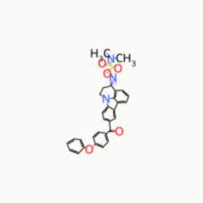 CN(C)S(=O)(=O)O/N=C1\CCn2c3ccc(C(=O)c4ccc(Oc5ccccc5)cc4)cc3c3cccc1c32